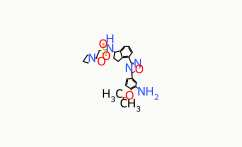 CC(C)Oc1ccc(-c2nc(-c3cccc4c3CC[C@H]4NS(=O)(=O)CC(=O)N3CCC3)no2)cc1N